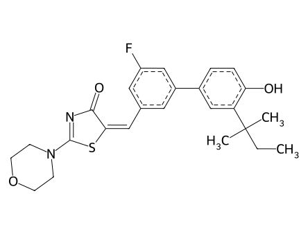 CCC(C)(C)c1cc(-c2cc(F)cc(C=C3SC(N4CCOCC4)=NC3=O)c2)ccc1O